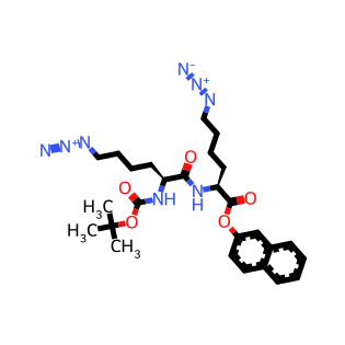 CC(C)(C)OC(=O)N[C@@H](CCCCN=[N+]=[N-])C(=O)N[C@@H](CCCCN=[N+]=[N-])C(=O)Oc1ccc2ccccc2c1